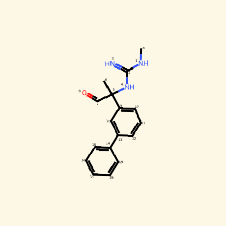 CNC(=N)NC(C)(C=O)c1cccc(-c2ccccc2)c1